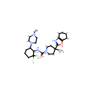 CC(C)N1CCN(C2CCCC(F)(F)C2NC(=O)N2CCC(C)(c3nc4c(o3)CCCC4)CC2)CC1